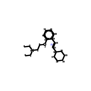 CCN(CC)CCOc1ccccc1/C=C/C1CCCCC1